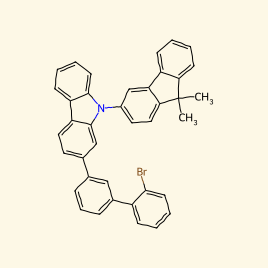 CC1(C)c2ccccc2-c2cc(-n3c4ccccc4c4ccc(-c5cccc(-c6ccccc6Br)c5)cc43)ccc21